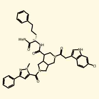 CNC(=O)[C@H](CCCc1ccccc1)NC(=O)C1CN(C(=O)Cc2c[nH]c3cc(Cl)ccc23)CC2CN(C(=O)c3cc(-c4ccccc4)nn3C)CC21